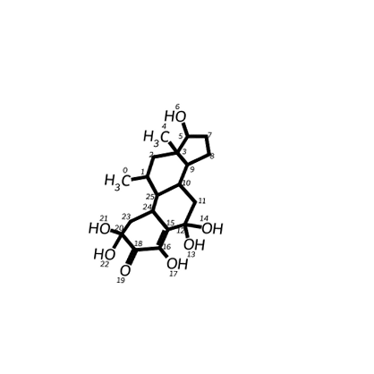 CC1CC2(C)C(O)CCC2C2CC(O)(O)C3=C(O)C(=O)C(O)(O)CC3C12